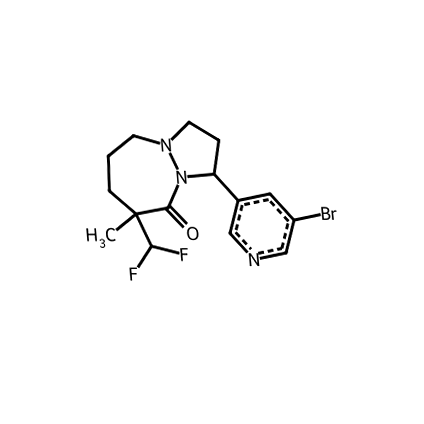 CC1(C(F)F)CCCN2CCC(c3cncc(Br)c3)N2C1=O